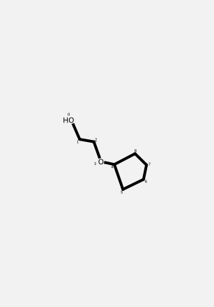 OC[CH]OC1CCCC1